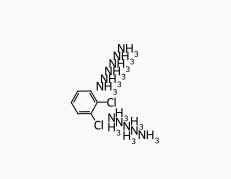 Clc1ccccc1Cl.N.N.N.N.N.N.N.N.N.N.N